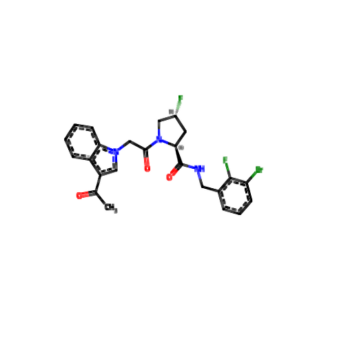 CC(=O)c1cn(CC(=O)N2C[C@H](F)C[C@H]2C(=O)NCc2cccc(Br)c2F)c2ccccc12